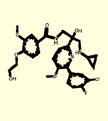 COc1cc(C(=O)NCC(O)(CNC2CC2)c2ccc(OC)c(-c3ccc(F)c(Cl)c3)n2)ccc1OCCO